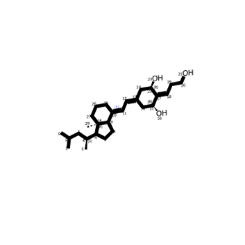 CC(C)C[C@H](C)C1CCC2/C(=C/C=C3C[C@@H](O)C(=CCCO)[C@H](O)C3)CCC[C@@]21C